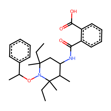 CCC1(C)CC(NC(=O)c2ccccc2C(=O)O)C(C)C(C)(CC)N1OC(C)c1ccccc1